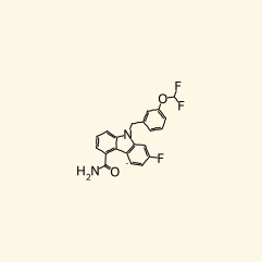 NC(=O)c1cccc2c1c1[c]cc(F)cc1n2Cc1cccc(OC(F)F)c1